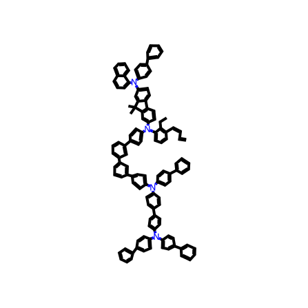 C=C/C=C\c1cccc(N(c2ccc(-c3cccc(-c4cccc(-c5ccc(N(c6ccc(-c7ccccc7)cc6)c6ccc(-c7ccc(N(c8ccc(-c9ccccc9)cc8)c8ccc(-c9ccccc9)cc8)cc7)cc6)cc5)c4)c3)cc2)c2ccc3c(c2)C(C)(C)c2cc(N(c4ccc(-c5ccccc5)cc4)c4cccc5ccccc45)ccc2-3)c1CC